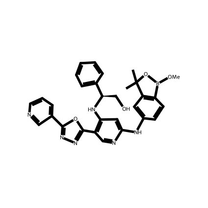 COB1OC(C)(C)c2cc(Nc3cc(N[C@H](CO)c4ccccc4)c(-c4nnc(-c5cccnc5)o4)cn3)ccc21